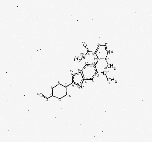 COc1cc2nc(C3CCC(C=O)CC3)sc2cc1N1C(C(N)=O)=CC=NC1C